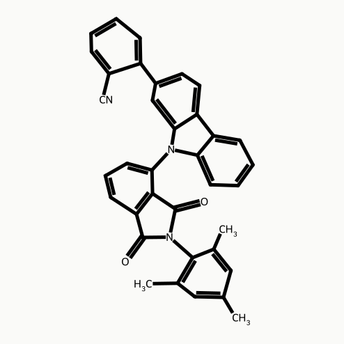 Cc1cc(C)c(N2C(=O)c3cccc(-n4c5ccccc5c5ccc(-c6ccccc6C#N)cc54)c3C2=O)c(C)c1